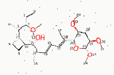 CC[C@H](OC)[C@@H](C)[C@H]1CC[C@@H]1[C@H](O)[C@@H](C)/C=C/C=C(\C)[C@H]1O[C@@H](OC)[C@H](OC)C[C@@H]1OC